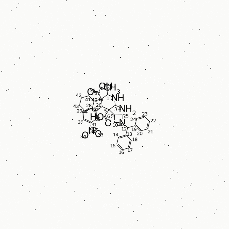 CC1NC(N)C(C(=O)O)(C2CN(C(c3ccccc3)c3ccccc3)C2)C(c2cccc([N+](=O)[O-])c2)C1(C(=O)O)C1CCCCC1